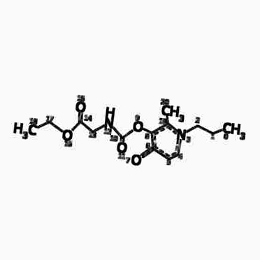 CCCn1ccc(=O)c(OC(=O)NCC(=O)OCC)c1C